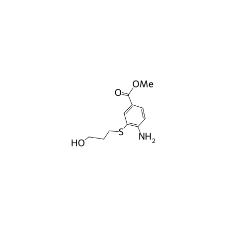 COC(=O)c1ccc(N)c(SCCCO)c1